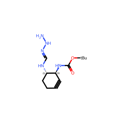 CC(C)(C)OC(=O)N[C@H]1C#CCC[C@@H]1NC=NNN